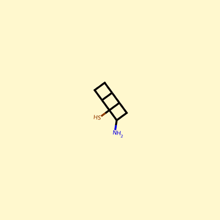 NC1CC2C3CCC3C12S